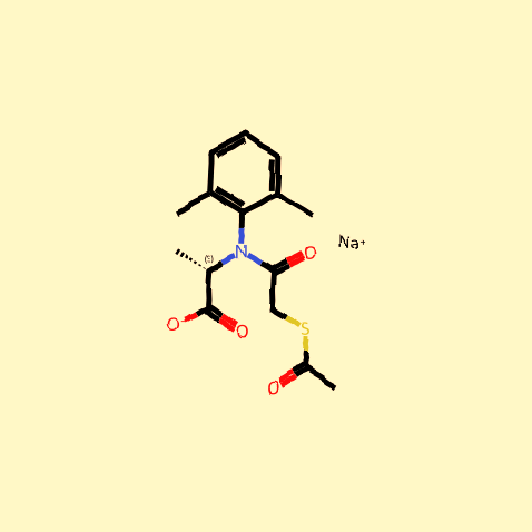 CC(=O)SCC(=O)N(c1c(C)cccc1C)[C@@H](C)C(=O)[O-].[Na+]